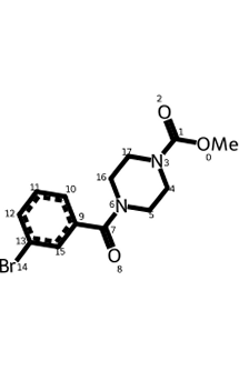 COC(=O)N1CCN(C(=O)c2cccc(Br)c2)CC1